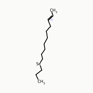 C/C=C/CCCCCCC[Se]CCC